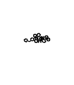 COC(=O)c1cccc2oc(-c3cccc4oc(-c5ccc(Cc6ccccc6)cc5O)nc34)nc12